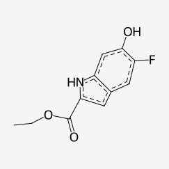 CCOC(=O)c1cc2cc(F)c(O)cc2[nH]1